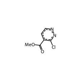 COC(=O)c1ccnnc1Cl